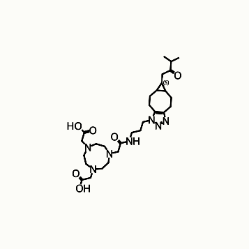 CC(C)C(=O)C[C@H]1C2CCc3nnn(CCCNC(=O)CN4CCN(CC(=O)O)CCN(CC(=O)O)CC4)c3CCC21